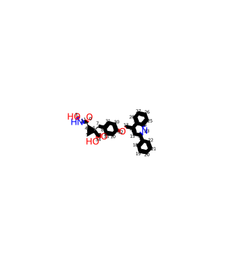 O=C(NO)[C@H]1C[C@]1(Cc1ccc(OCc2cc(-c3ccccc3)nc3ccccc23)cc1)C(=O)O